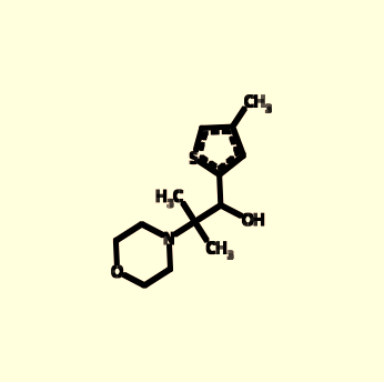 Cc1csc(C(O)C(C)(C)N2CCOCC2)c1